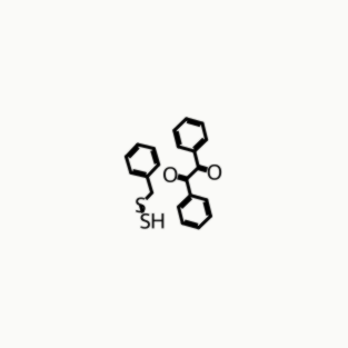 O=C(C(=O)c1ccccc1)c1ccccc1.SSCc1ccccc1